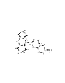 Oc1ccc2cc(-c3c4ccccc4cc4ccccc34)ccc2c1